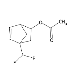 CC(=O)OC1CC2(C(F)F)C=CC1C2